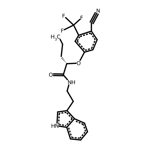 CCC[C@H](Oc1ccc(C#N)c(C(F)(F)F)c1)C(=O)NCCc1c[nH]c2ccccc12